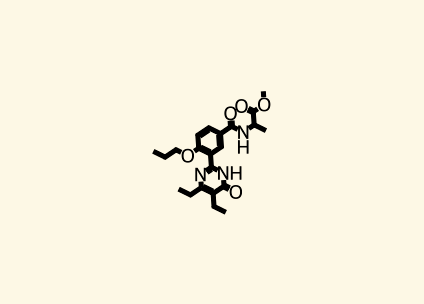 CCCOc1ccc(C(=O)NC(C)C(=O)OC)cc1-c1nc(CC)c(CC)c(=O)[nH]1